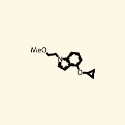 COCCn1ccc2c(OC3CC3)cccc21